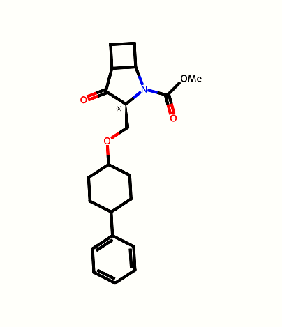 COC(=O)N1C2CCC2C(=O)[C@@H]1COC1CCC(c2ccccc2)CC1